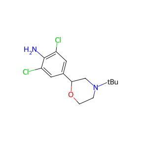 CC(C)(C)N1CCOC(c2cc(Cl)c(N)c(Cl)c2)C1